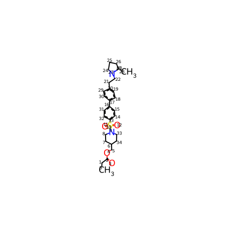 CCC(=O)OCC1CCN(S(=O)(=O)c2ccc(-c3ccc(CCN4CCC[C@H]4C)cc3)cc2)CC1